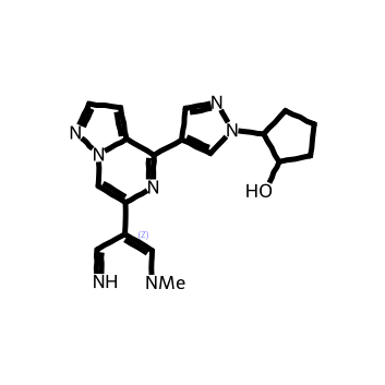 CN/C=C(\C=N)c1cn2nccc2c(-c2cnn(C3CCCC3O)c2)n1